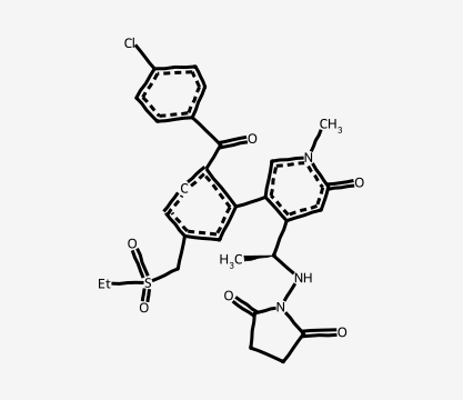 CCS(=O)(=O)Cc1ccc(C(=O)c2ccc(Cl)cc2)c(-c2cn(C)c(=O)cc2[C@H](C)NN2C(=O)CCC2=O)c1